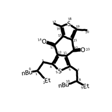 CCCCC(CC)Cc1sc(CC(CC)CCCC)c2c1C(=O)c1c(C)sc(C)c1C2=O